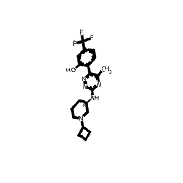 Cc1nc(N[C@@H]2CCCN(C3CCC3)C2)nnc1-c1ccc(C(F)(F)F)cc1O